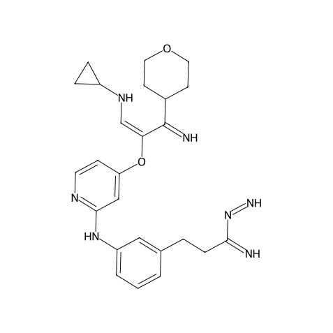 N=NC(=N)CCc1cccc(Nc2cc(O/C(=C/NC3CC3)C(=N)C3CCOCC3)ccn2)c1